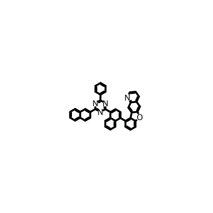 c1ccc(-c2nc(-c3ccc4ccccc4c3)nc(-c3ccc(-c4cccc5oc6cc7cccnc7cc6c45)c4ccccc34)n2)cc1